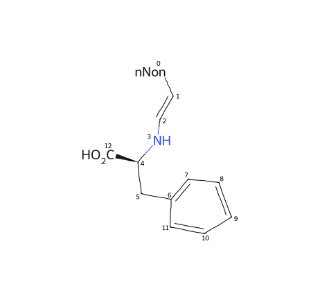 CCCCCCCCCC=CN[C@@H](Cc1ccccc1)C(=O)O